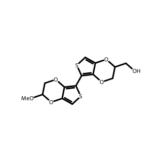 COC1COc2c(csc2-c2scc3c2OCC(CO)O3)O1